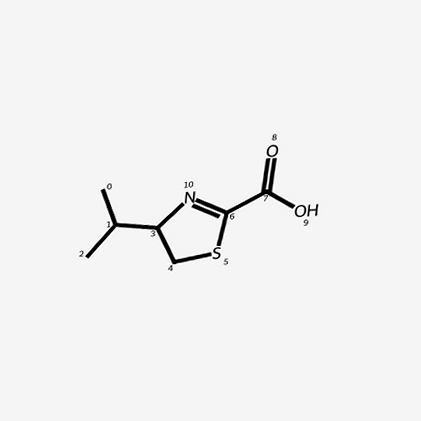 CC(C)C1CSC(C(=O)O)=N1